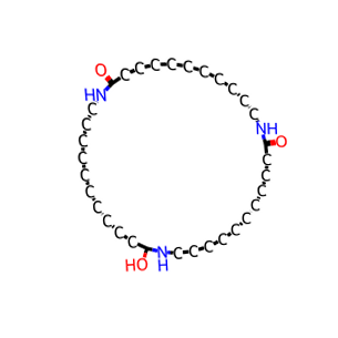 O=C1CCCCCCCCCCNC(=O)CCCCCCCCCCNC(O)CCCCCCCCCCN1